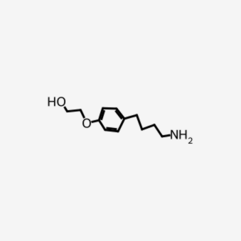 NCCCCc1ccc(OCCO)cc1